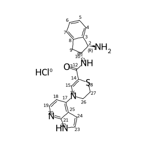 Cl.N[C@@H]1c2ccccc2C[C@H]1NC(=O)C1=CN(c2ccnc3[nH]ccc23)CCS1